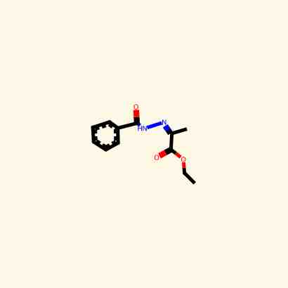 CCOC(=O)C(C)=NNC(=O)c1ccccc1